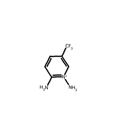 Nc1ccc(C(F)(F)F)c[n+]1N